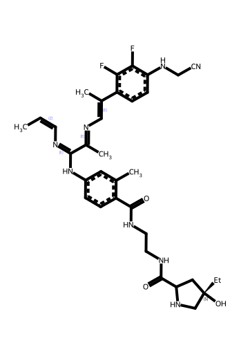 C\C=C/N=C(Nc1ccc(C(=O)NCCNC(=O)C2C[C@@](O)(CC)CN2)c(C)c1)\C(C)=N\C=C(/C)c1ccc(NCC#N)c(F)c1F